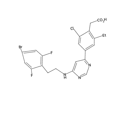 CCc1cc(-c2cc(NCCc3c(F)cc(Br)cc3F)ncn2)cc(Cl)c1CC(=O)O